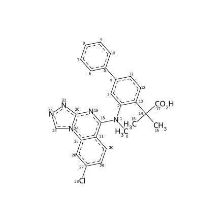 CN(c1cc(-c2ccccc2)ccc1C(C)(C)C(=O)O)c1nc2nncn2c2cc(Cl)ccc12